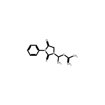 C=C(C)SC(C)N1CC(=O)N(c2ccccc2)C1=S